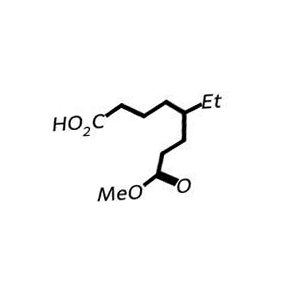 CCC(CCCC(=O)O)CCC(=O)OC